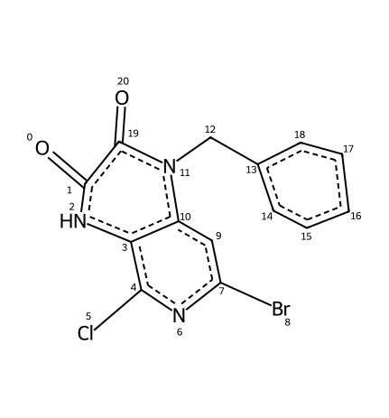 O=c1[nH]c2c(Cl)nc(Br)cc2n(Cc2ccccc2)c1=O